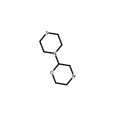 C1COC(N2CCSCC2)C[N]1